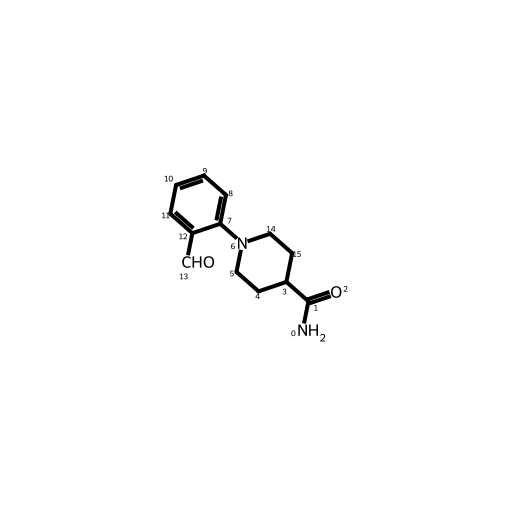 NC(=O)C1CCN(c2ccccc2C=O)CC1